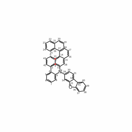 c1ccc(-c2ccccc2N(c2ccc3c(ccc4ccc5ccccc5c43)c2)c2ccc3c(c2)oc2ccccc23)cc1